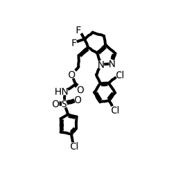 O=C(NS(=O)(=O)c1ccc(Cl)cc1)OC/C=C1\c2c(cnn2Cc2ccc(Cl)cc2Cl)CCC1(F)F